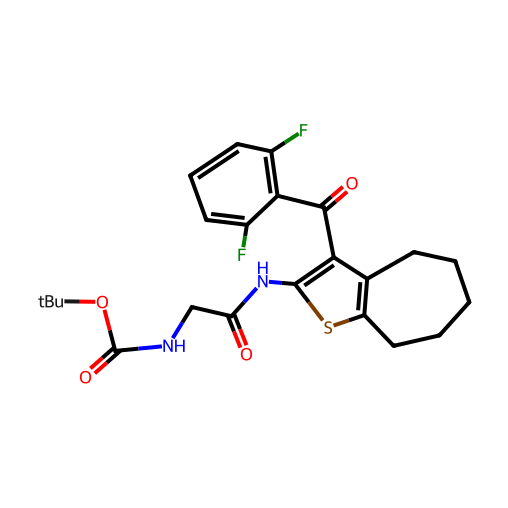 CC(C)(C)OC(=O)NCC(=O)Nc1sc2c(c1C(=O)c1c(F)cccc1F)CCCCC2